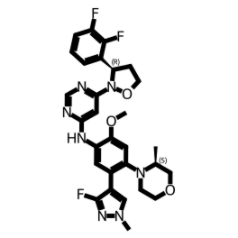 COc1cc(N2CCOC[C@@H]2C)c(-c2cn(C)nc2F)cc1Nc1cc(N2OCC[C@@H]2c2cccc(F)c2F)ncn1